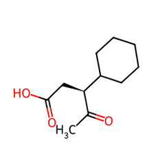 CC(=O)[C@@H](CC(=O)O)C1CCCCC1